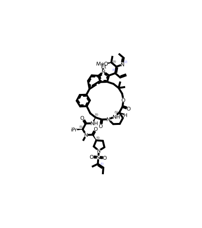 C=C/C(=C(\N=C/C)[C@H](C)OC)c1c2c3cc(ccc3n1CC)-c1cccc(c1)C[C@H](NC(=O)[C@H](C(C)C)N(C)C(=O)[C@H]1CCN(S(=O)(=O)/C(C)=C/C)C1)C(=O)N1CCC[C@H](N1)C(=O)OCC(C)(C)C2